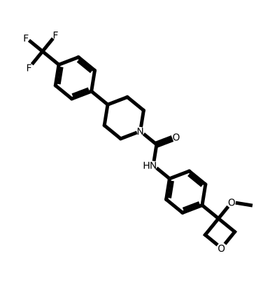 COC1(c2ccc(NC(=O)N3CCC(c4ccc(C(F)(F)F)cc4)CC3)cc2)COC1